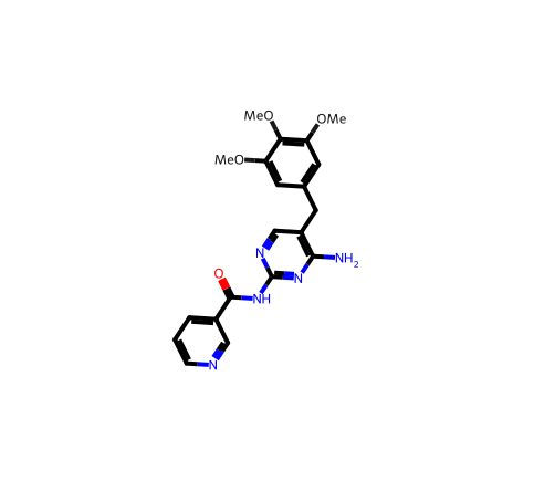 COc1cc(Cc2cnc(NC(=O)c3cccnc3)nc2N)cc(OC)c1OC